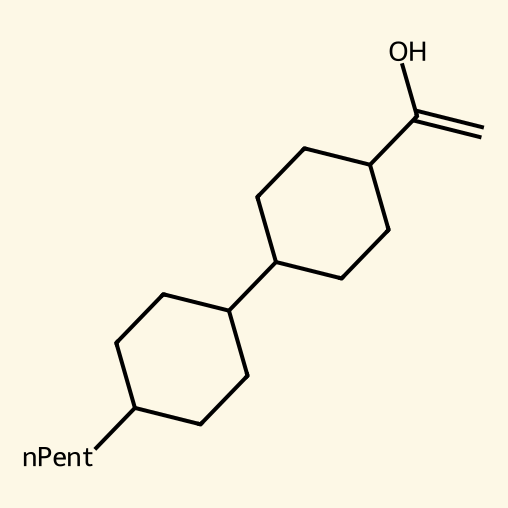 C=C(O)C1CCC(C2CCC(CCCCC)CC2)CC1